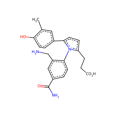 Cc1cc(-c2ccc(CCC(=O)O)n2-c2ccc(C(N)=O)cc2CN)ccc1O